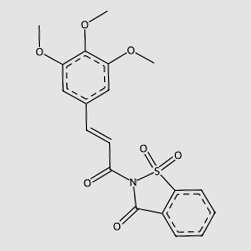 COc1cc(/C=C/C(=O)N2C(=O)c3ccccc3S2(=O)=O)cc(OC)c1OC